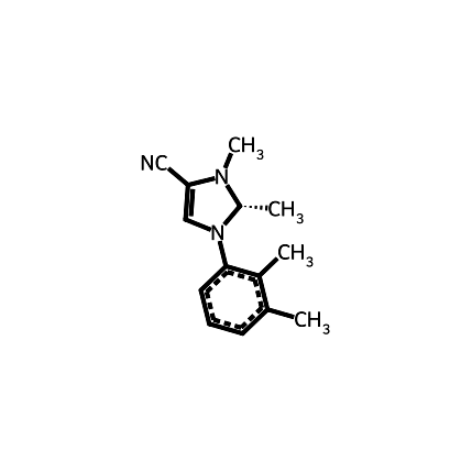 Cc1cccc(N2C=C(C#N)N(C)[C@@H]2C)c1C